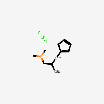 CP(C)C[CH]([Zr+3][C]1=CC=CC1)C(C)(C)C.[Cl-].[Cl-].[Cl-]